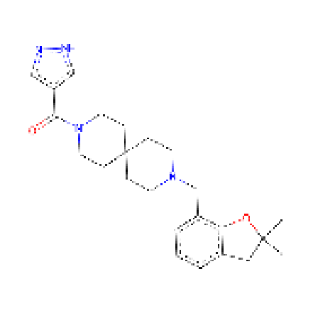 CC1(C)Cc2cccc(CN3CCC4(CC3)CCN(C(=O)c3cn[nH]c3)CC4)c2O1